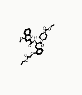 CCOC(=O)COc1ccccc1CC(NC(=O)c1cc(OC)c2ccccc2n1)C(=O)N1CCN(C(=O)OCC)CC1